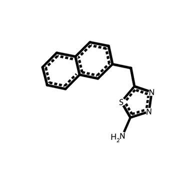 Nc1nnc(Cc2ccc3ccccc3c2)s1